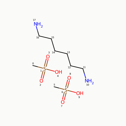 CS(=O)(=O)O.CS(=O)(=O)O.NCCCCCCN